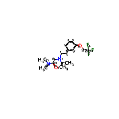 CC(C)N(CCc1cccc(OCC(F)(F)F)c1)CC(=O)N(C)C